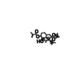 C=C(C)C(=O)OC1CCC(CC(O[Si](C)(C)C)(O[Si](C)(C)C)[SiH2]C)CC1O